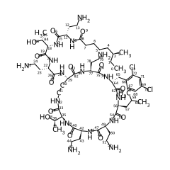 CC[C@H](C)CCCCC(=O)N[C@@H](CCN)C(=O)N[C@H](C(=O)N[C@@H](CCN)C(=O)N[C@H]1CCNC(=O)[C@H]([C@@H](C)O)NC(=O)[C@H](CCN)NC(=O)[C@H](CCN)NC(=O)[C@H](CC(C)C)NC(=O)[C@@H](Cc2ccc(Cl)cc2Cl)NC(=O)[C@H](CCN)NC1=O)[C@@H](C)O